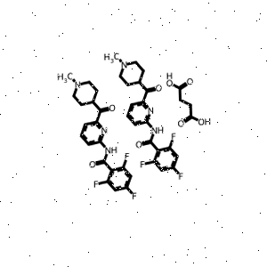 CN1CCC(C(=O)c2cccc(NC(=O)c3c(F)cc(F)cc3F)n2)CC1.CN1CCC(C(=O)c2cccc(NC(=O)c3c(F)cc(F)cc3F)n2)CC1.O=C(O)CCC(=O)O